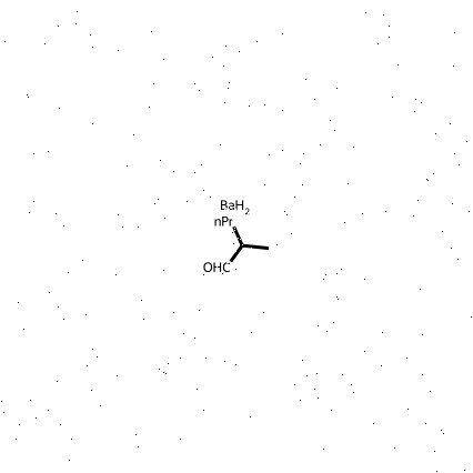 CCCC(C)C=O.[BaH2]